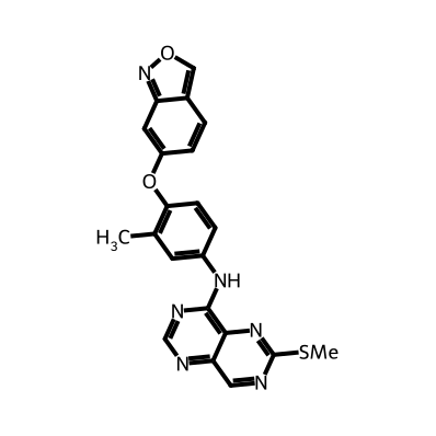 CSc1ncc2ncnc(Nc3ccc(Oc4ccc5conc5c4)c(C)c3)c2n1